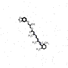 CC1=C(/C=C/C(C)=C/C=C/C(C)=C/C(=O)OCC(O)COc2ccc3c(c2)OCO3)C(C)(C)CCC1